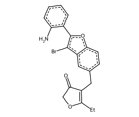 CCC1=C(Cc2ccc3oc(-c4ccccc4N)c(Br)c3c2)C(=O)CO1